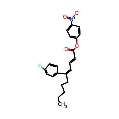 CCCCCC(=CC=CC(=O)Oc1ccc([N+](=O)[O-])cc1)c1ccc(F)cc1